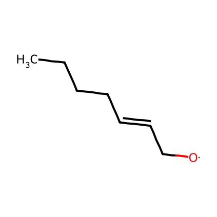 CCCCC=CC[O]